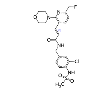 CS(=O)(=O)Nc1ccc(CNC(=O)/C=C/c2ccc(CF)nc2N2CCOCC2)cc1Cl